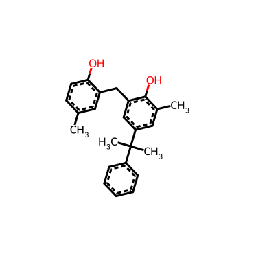 Cc1ccc(O)c(Cc2cc(C(C)(C)c3ccccc3)cc(C)c2O)c1